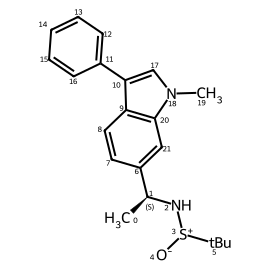 C[C@H](N[S+]([O-])C(C)(C)C)c1ccc2c(-c3ccccc3)cn(C)c2c1